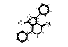 C=C1SNC(c2ccccc2)=c2c1c(-c1ccccc1)[nH]c2=C